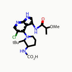 COC(C)C(=O)Nc1c[nH]c2ncc(Cl)c(N3CCCC(NC(=O)O)C3C(C)(C)C)c12